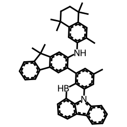 Cc1cc(-c2cc3c(cc2Nc2cc4c(cc2C)C(C)(C)CCC4(C)C)C(C)(C)c2ccccc2-3)c2c(c1)-n1c3ccccc3c3cccc(c31)B2